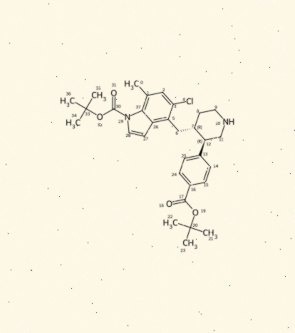 Cc1cc(Cl)c(C[C@@H]2CCNC[C@H]2c2ccc(C(=O)OC(C)(C)C)cc2)c2ccn(C(=O)OC(C)(C)C)c12